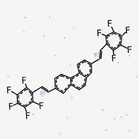 Fc1c(F)c(F)c(/C=C/c2ccc3c(ccc4cc(/C=C/c5c(F)c(F)c(F)c(F)c5F)ccc43)c2)c(F)c1F